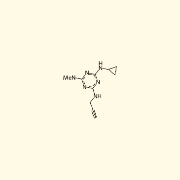 C#CCNc1nc(NC)nc(NC2CC2)n1